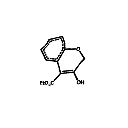 CCOC(=O)C1=C(O)COc2ccccc21